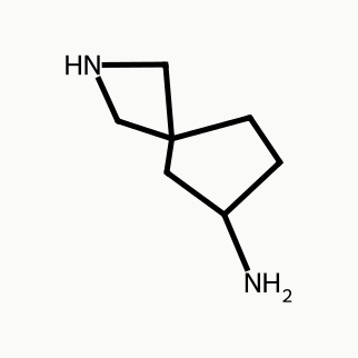 NC1CCC2(CNC2)C1